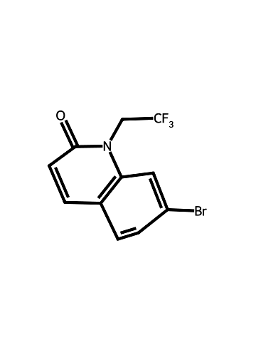 O=c1ccc2ccc(Br)cc2n1CC(F)(F)F